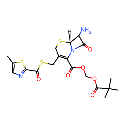 Cc1cnc(C(=O)SCC2=C(C(=O)OCOC(=O)C(C)(C)C)N3C(=O)C(N)[C@H]3SC2)s1